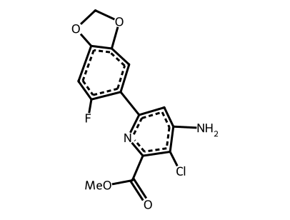 COC(=O)c1nc(-c2cc3c(cc2F)OCO3)cc(N)c1Cl